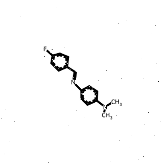 CN(C)c1ccc(N=Cc2ccc(F)cc2)cc1